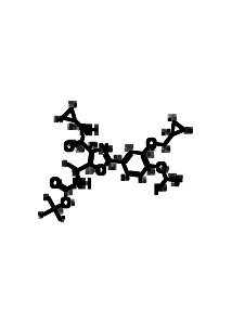 CC(NC(=O)OC(C)(C)C)c1oc(-c2ccc(OC(F)F)c(OCC3CC3)c2)nc1C(=O)NC1CC1